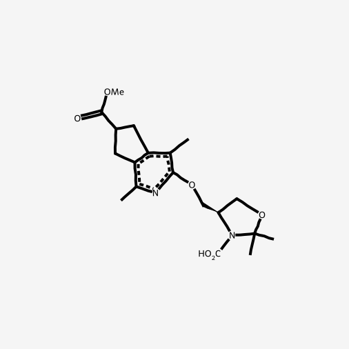 COC(=O)C1Cc2c(C)nc(OC[C@H]3COC(C)(C)N3C(=O)O)c(C)c2C1